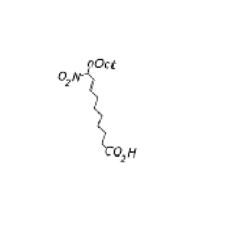 CCCCCCCCC(C=CCCCCCCC(=O)O)[N+](=O)[O-]